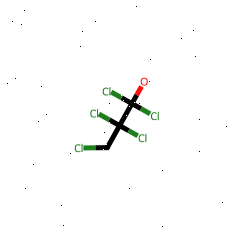 [O]C(Cl)(Cl)C(Cl)(Cl)CCl